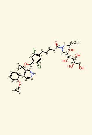 O=C(O)CCN(C[C@H](O)[C@@H](O)[C@H](O)[C@H](O)CO)C(=O)CCCCc1cc(Cl)c(COC2(c3cnccc3-c3ccccc3OC3CC3)CC2)cc1Cl